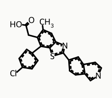 Cc1cc2nc(-c3ccc4cnccc4c3)sc2c(-c2ccc(Cl)cc2)c1CC(=O)O